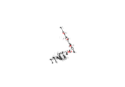 CC(C)[C@H](N)C(=O)O.CC[C@H](C)[C@H](N)C(=O)O.N=C(N)NCCC[C@H](N)C(=O)O.N=C(N)NCCC[C@H](N)C(=O)O.N=C(N)NCCC[C@H](N)C(=O)O.NC(=O)CC[C@H](N)C(=O)O.NCC(=O)O.NCCCC[C@H](N)C(=O)O.NCCCC[C@H](N)C(=O)O.N[C@@H](CCC(=O)O)C(=O)O.N[C@@H](Cc1ccc(O)cc1)C(=O)O